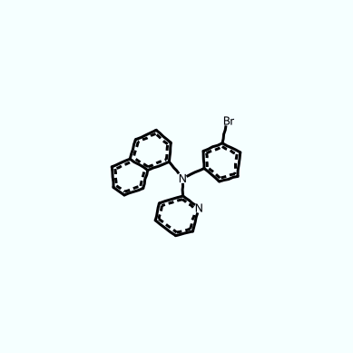 Brc1cccc(N(c2ccccn2)c2cccc3ccccc23)c1